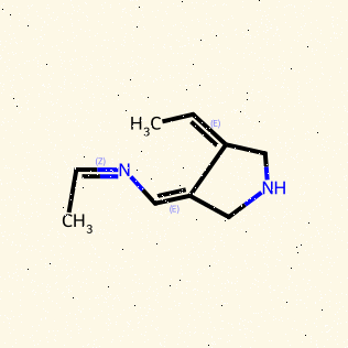 C\C=N/C=C1/CNC/C1=C/C